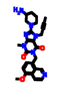 CC#CCn1c(N2CCCC(N)C2)nc2c1c(=O)n(Cc1ccc(OC)c3ccncc13)c(=O)n2C